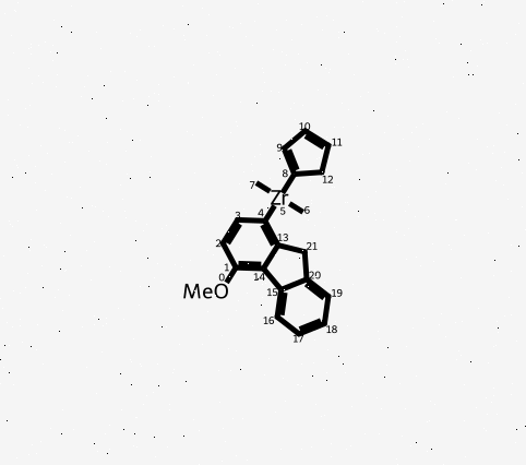 COc1cc[c]([Zr]([CH3])([CH3])[C]2=CC=CC2)c2c1-c1ccccc1C2